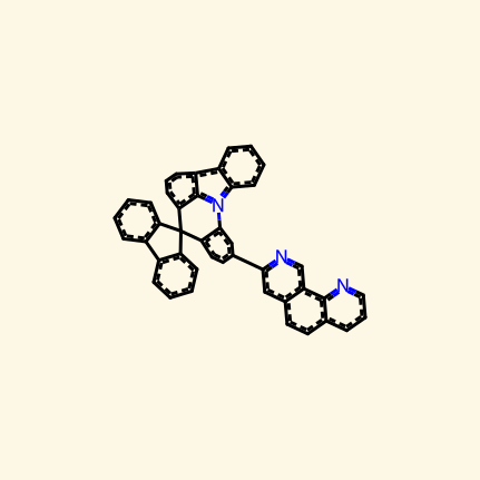 c1ccc2c(c1)-c1ccccc1C21c2ccc(-c3cc4ccc5cccnc5c4cn3)cc2-n2c3ccccc3c3cccc1c32